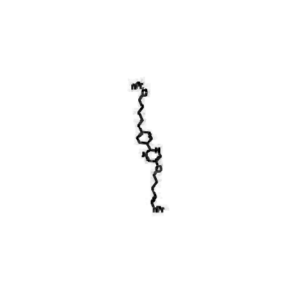 CCCC=CCCCOc1cnc(-c2ccc(CCCCCOCCC)cc2)nc1